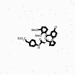 CCOC(=O)Cc1ccc(NC(=O)C[C@@H]2O[C@@H](c3cccc(OC)c3OC)c3cc(Cl)ccc3-n3cccc32)cc1